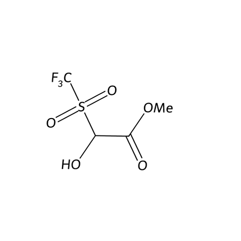 COC(=O)C(O)S(=O)(=O)C(F)(F)F